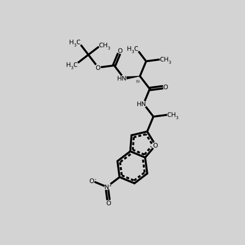 CC(NC(=O)[C@@H](NC(=O)OC(C)(C)C)C(C)C)c1cc2cc([N+](=O)[O-])ccc2o1